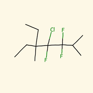 CCC(C)(CC)C(F)(Cl)C(F)(F)C(C)C